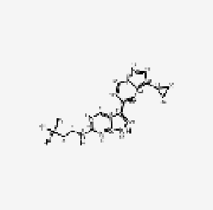 FC(F)(F)CCNc1ncc2c(-c3ccn4ncc(C5CC5)c4n3)c[nH]c2n1